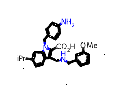 COc1cccc(CNCc2c(C(=O)O)n(Cc3ccc(N)cc3)c3cc(C(C)C)ccc23)c1